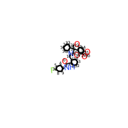 O=C(Nc1ccc(F)cc1)c1ccccc1CN1C(=O)C2(COc3cc4c(cc32)OCO4)c2ccccc21